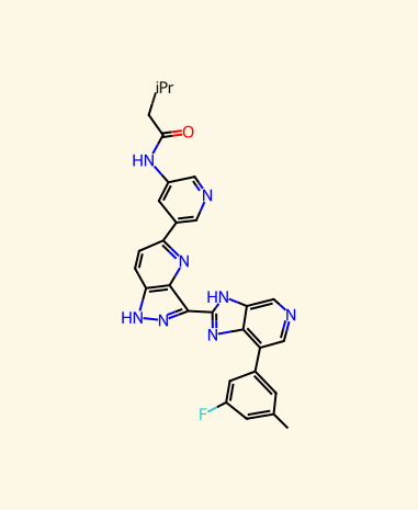 Cc1cc(F)cc(-c2cncc3[nH]c(-c4n[nH]c5ccc(-c6cncc(NC(=O)CC(C)C)c6)nc45)nc23)c1